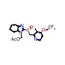 CC(=O)OCn1c([S+]([O-])Cc2nccc(OCC(F)(F)F)c2C)nc2ccccc21